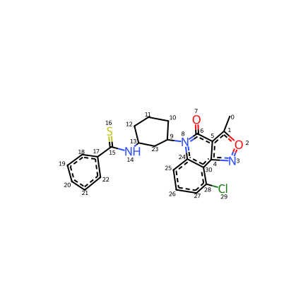 Cc1onc2c1c(=O)n(C1CCCC(NC(=S)c3ccccc3)C1)c1cccc(Cl)c21